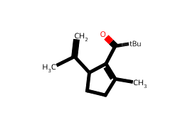 C=C(C)C1CCC(C)=C1C(=O)C(C)(C)C